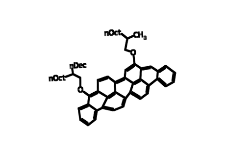 CCCCCCCCCCC(CCCCCCCC)COc1c2ccccc2c2ccc3c4ccc5c6ccccc6cc6c(OCC(C)CCCCCCCC)cc(c7ccc1c2c37)c4c65